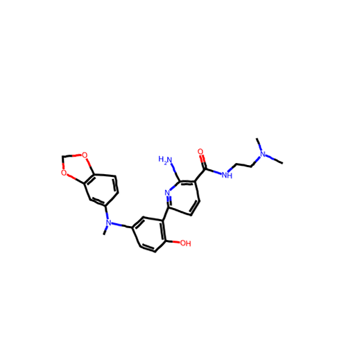 CN(C)CCNC(=O)c1ccc(-c2cc(N(C)c3ccc4c(c3)OCO4)ccc2O)nc1N